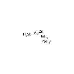 [Ag].[InH3].[PbH2].[SbH3].[Zn]